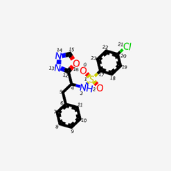 O=S(=O)(NC(Cc1ccccc1)c1nnco1)c1ccc(Cl)cc1